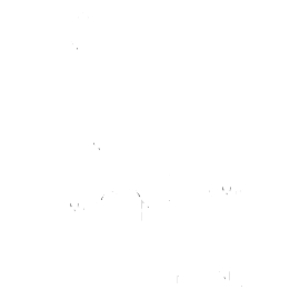 COc1cc(N)c(Cl)cc1C(=O)N[C@@H]1CCN(CCCCN(C)C(=O)O)C[C@@H]1OC